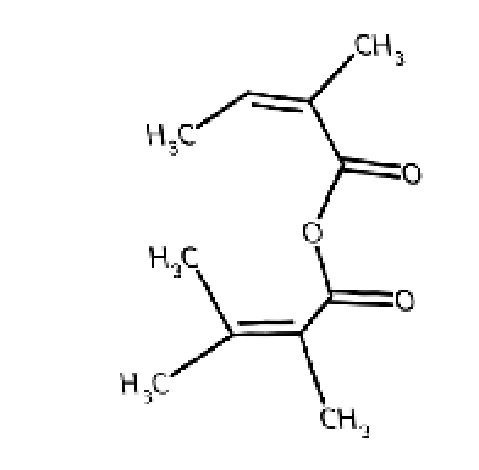 CC=C(C)C(=O)OC(=O)C(C)=C(C)C